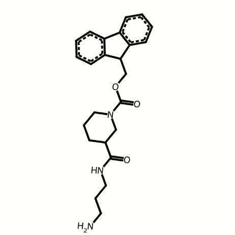 NCCCNC(=O)C1CCCN(C(=O)OCC2c3ccccc3-c3ccccc32)C1